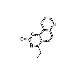 CCc1nc(=O)oc2c1ccc1ncccc12